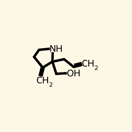 C=CCC1(CO)NCCC1=C